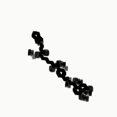 CN(CCCCC(=O)N(C)c1ccc(CNC[C@H](O)c2ccc(O)c3[nH]c(=O)ccc23)cc1)C(=O)CCN1CC2CCCC2C1